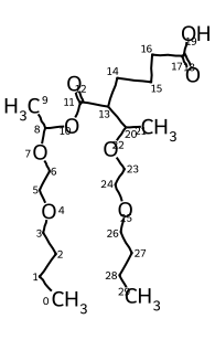 CCCCOCCOC(C)OC(=O)C(CCCC(=O)O)C(C)OCCOCCCC